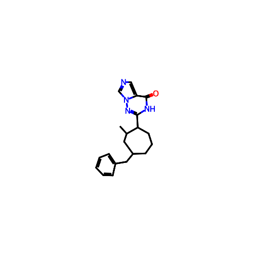 CC1CC(Cc2ccccc2)CCCC1c1nn2cncc2c(=O)[nH]1